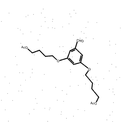 CC(=O)OCCCCOc1cc(C=O)cc(OCCCCOC(C)=O)c1